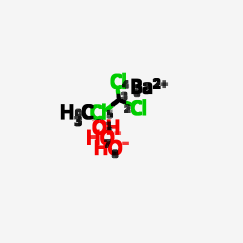 CO.ClC(Cl)Cl.[Ba+2].[OH-].[OH-]